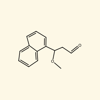 COC(CC=O)c1cccc2ccccc12